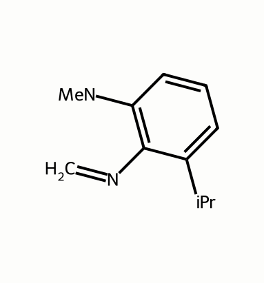 C=Nc1c(NC)cccc1C(C)C